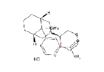 CO[C@@]1(c2ccnc(C(N)=O)c2)[C@@H]2CCC[C@H]1CN([C@@H]1CCCOC1)C2.Cl